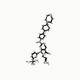 C=CCn1c(=O)c2cnc(Nc3ccc(C4CCC(N5CCOCC5)CC4)cc3)nc2n1-c1cccc(C(C)(C)O)n1